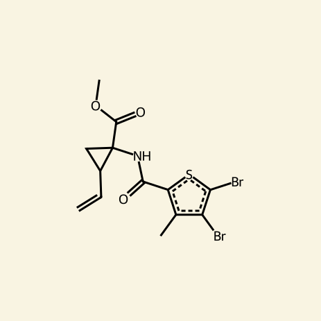 C=CC1CC1(NC(=O)c1sc(Br)c(Br)c1C)C(=O)OC